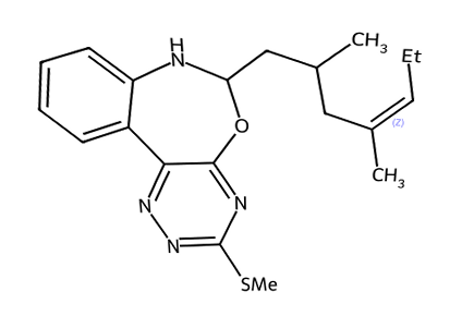 CC/C=C(/C)CC(C)CC1Nc2ccccc2-c2nnc(SC)nc2O1